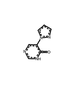 O=c1[nH]cncc1-n1cccn1